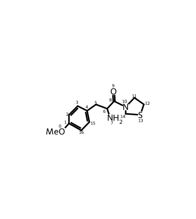 COc1ccc(CC(N)C(=O)N2CCSC2)cc1